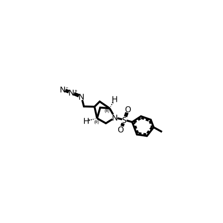 Cc1ccc(S(=O)(=O)N2C[C@@H]3C[C@H]2CC3CN=[N+]=[N-])cc1